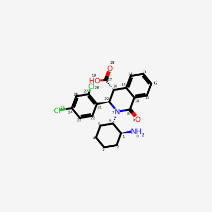 N[C@H]1CCCC[C@@H]1N1C(=O)c2ccccc2[C@@H](C(=O)O)[C@@H]1c1ccc(Cl)cc1Cl